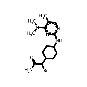 Cc1cnc(NC2CCC(C(Br)C(N)=O)CC2)nc1N(C)C